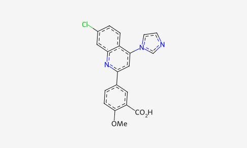 COc1ccc(-c2cc(-n3ccnc3)c3ccc(Cl)cc3n2)cc1C(=O)O